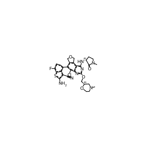 CN1CCO[C@@H](COc2nc(N[C@@H]3CCN(C)C3=O)c3c4c(c(-c5ccc(F)c6sc(N)c(C#N)c56)c(Cl)c3n2)COC4)C1